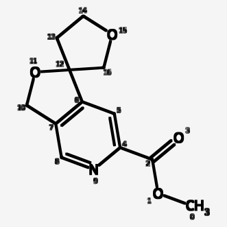 COC(=O)c1cc2c(cn1)COC21CCOC1